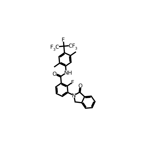 Cc1cc(C(F)(C(F)(F)F)C(F)(F)F)c(C)cc1NC(=O)c1cccc(N2Cc3ccccc3C2=O)c1F